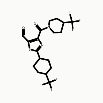 O=Cc1sc(C2CCC(C(F)(F)F)CC2)nc1C(=O)N1CCC(C(F)(F)F)CC1